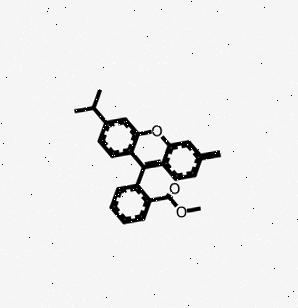 C=c1ccc2c(c1)Oc1cc(C(C)C)ccc1C=2c1ccccc1C(=O)OC